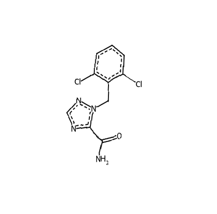 NC(=O)c1ncnn1Cc1c(Cl)cccc1Cl